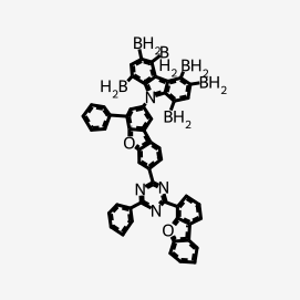 Bc1cc(B)c2c(c1B)c1c(B)c(B)cc(B)c1n2-c1cc(-c2ccccc2)c2oc3cc(-c4nc(-c5ccccc5)nc(-c5cccc6c5oc5ccccc56)n4)ccc3c2c1